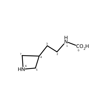 O=C(O)NCCC1CNC1